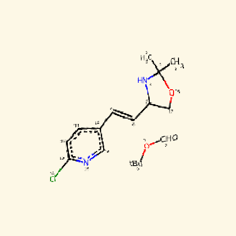 CC(C)(C)OC=O.CC1(C)NC(/C=C/c2ccc(Cl)nc2)CO1